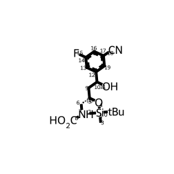 CC(C)(C)[Si](C)(C)O[C@H](CNC(=O)O)CC(O)c1cc(F)cc(C#N)c1